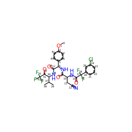 COc1ccc(C(NC(=O)C(CC#N)NC(=O)C(F)(F)c2cccc(Cl)c2)C(=O)NC(C(=O)C(F)(F)F)C(C)C)cc1